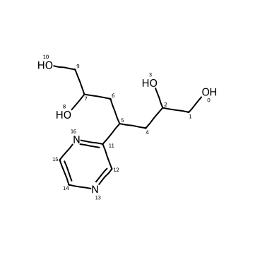 OCC(O)CC(CC(O)CO)c1cnccn1